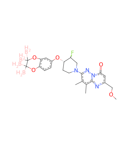 BC1(B)Oc2ccc(O[C@H]3CCN(c4nn5c(=O)cc(COC)nc5c(C)c4C)C[C@@H]3F)cc2OC1(B)B